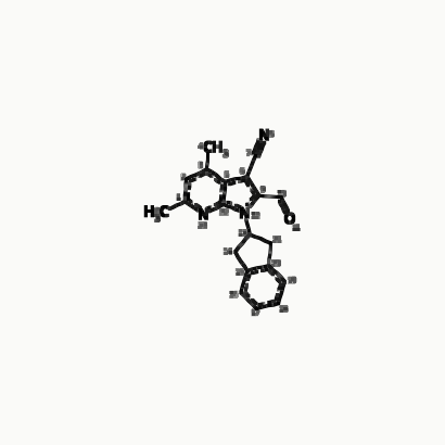 Cc1cc(C)c2c(C#N)c(C=O)n(C3Cc4ccccc4C3)c2n1